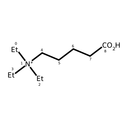 CC[N+](CC)(CC)CCCCC(=O)O